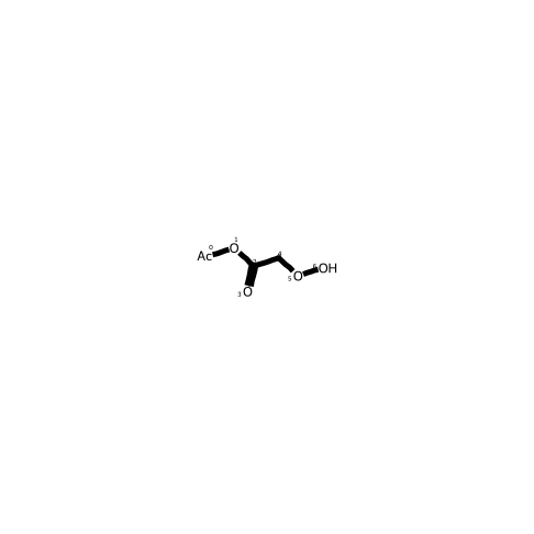 CC(=O)OC(=O)COO